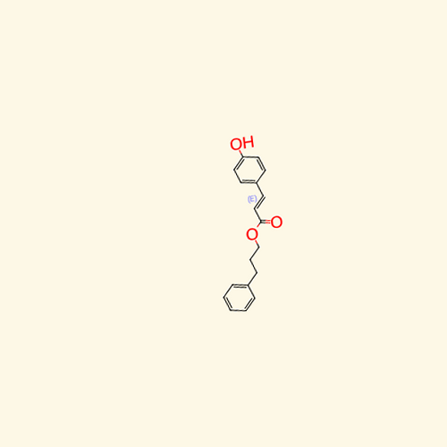 O=C(/C=C/c1ccc(O)cc1)OCCCc1ccccc1